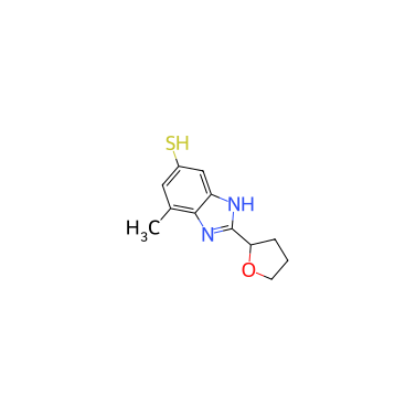 Cc1cc(S)cc2[nH]c(C3CCCO3)nc12